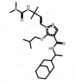 CC(C)COc1c(C(=O)NC(C)C2CC3CCCC(C3)C2)cnn1/C=C/C(C)(C)NC(=O)N(C)C